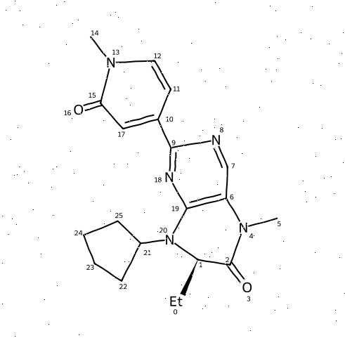 CC[C@@H]1C(=O)N(C)c2cnc(-c3ccn(C)c(=O)c3)nc2N1C1CCCC1